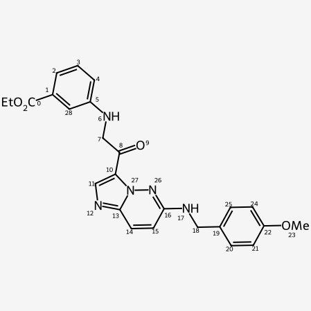 CCOC(=O)c1cccc(NCC(=O)c2cnc3ccc(NCc4ccc(OC)cc4)nn23)c1